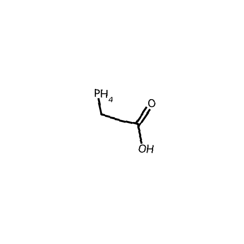 O=C(O)C[PH4]